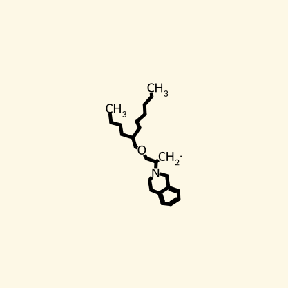 [CH2]C(COCC(CCCC)CCCCCC)N1CCc2ccccc2C1